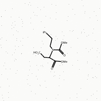 COC(=O)C(CC(=O)O)N(CCC(C)C)C(=O)OC